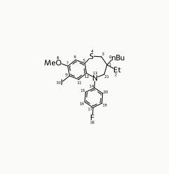 CCCCC1(CC)CSc2cc(OC)c(I)cc2N(c2ccc(F)cc2)C1